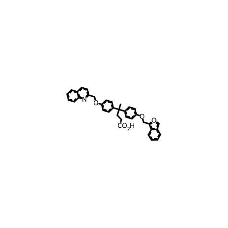 CC(CCC(=O)O)(c1ccc(OCc2ccc3ccccc3n2)cc1)c1ccc(OCc2occ3ccccc23)cc1